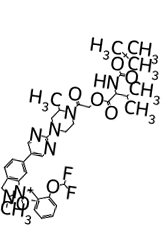 CC(C)C(NC(=O)OC(C)(C)C)C(=O)OCC(=O)N1CCN(c2ncc(-c3ccc4c(c3)[N+]([O-])(Cc3ccccc3OC(F)F)N(C)C4)cn2)CC1C